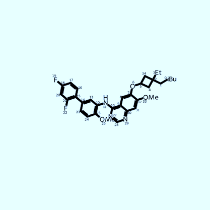 CCC(C)CC1(CC)CC(Oc2cc3c(Nc4cc(-c5ccc(F)cc5F)ccc4OC)ncnc3cc2OC)C1